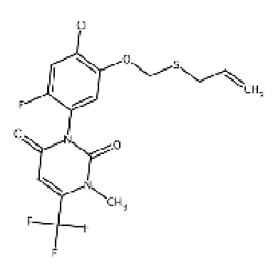 C=CCSCOc1cc(-n2c(=O)cc(C(F)(F)F)n(C)c2=O)c(F)cc1Cl